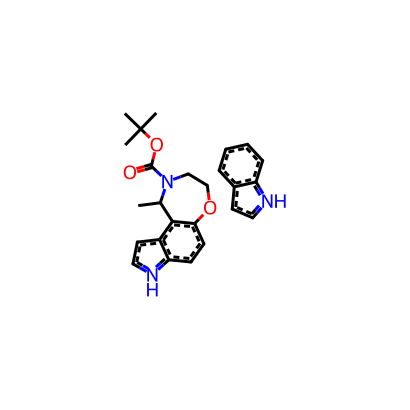 CC1c2c(ccc3[nH]ccc23)OCCN1C(=O)OC(C)(C)C.c1ccc2[nH]ccc2c1